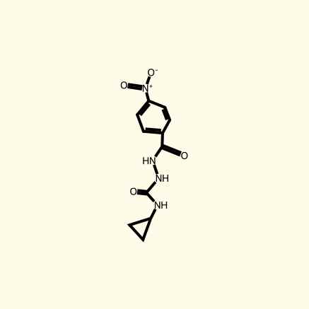 O=C(NNC(=O)c1ccc([N+](=O)[O-])cc1)NC1CC1